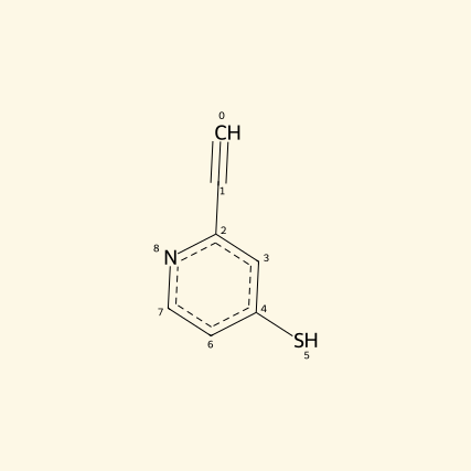 C#Cc1cc(S)ccn1